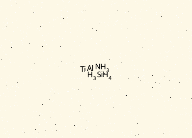 N.[AlH3].[SiH4].[Ti]